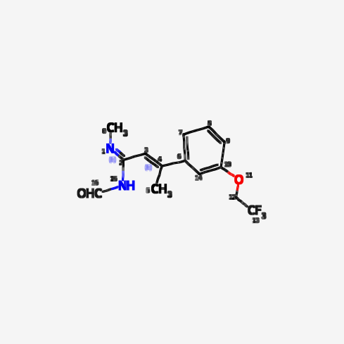 C/N=C(\C=C(/C)c1cccc(OCC(F)(F)F)c1)NC=O